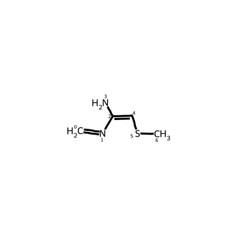 C=N/C(N)=C\SC